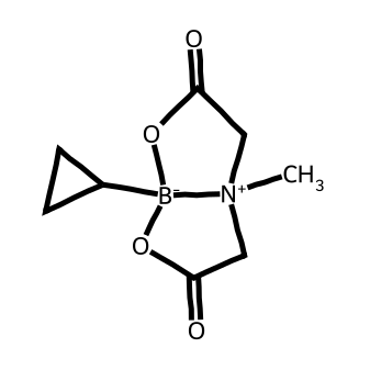 C[N+]12CC(=O)O[B-]1(C1CC1)OC(=O)C2